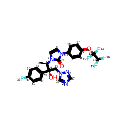 C[C@@H](n1ccn(-c2ccc(OC(F)(F)C(F)F)cc2)c1=O)[C@](O)(Cn1cncn1)c1ccc(F)cc1